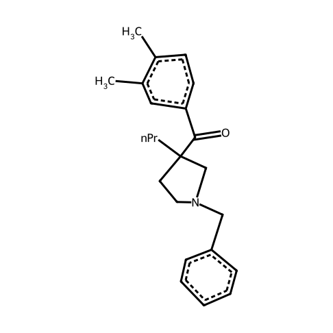 CCCC1(C(=O)c2ccc(C)c(C)c2)CCN(Cc2ccccc2)C1